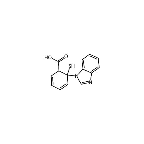 O=C(O)C1C=CC=CC1(S)n1cnc2ccccc21